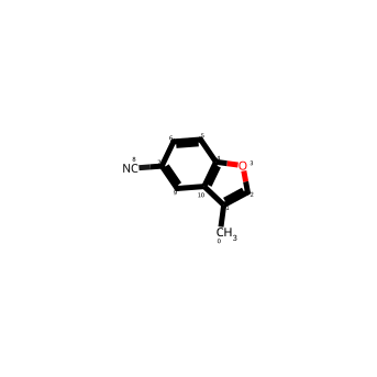 Cc1coc2ccc(C#N)cc12